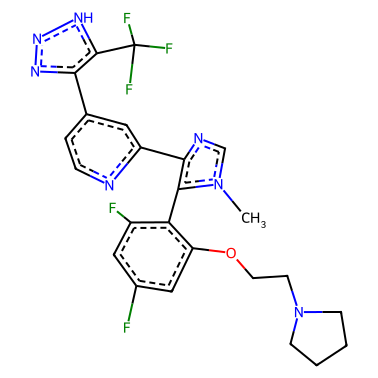 Cn1cnc(-c2cc(-c3nn[nH]c3C(F)(F)F)ccn2)c1-c1c(F)cc(F)cc1OCCN1CCCC1